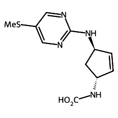 CSc1cnc(N[C@H]2C=C[C@H](NC(=O)O)C2)nc1